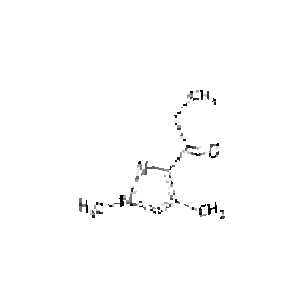 CCC(=O)c1nn(C)cc1C